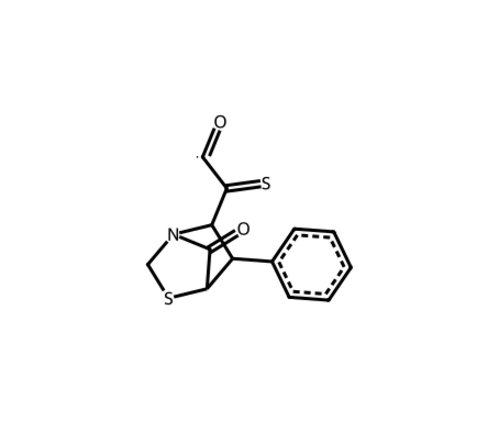 O=[C]C(=S)C1C(c2ccccc2)C2SCN1C2=O